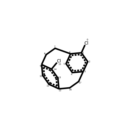 Clc1cc2ccc1CCc1ccc(cc1Cl)CC2